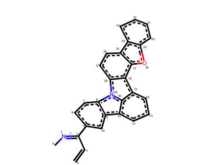 C=C/C(=N\C)c1ccc2c(c1)c1cccc3c4c5oc6ccccc6c5ccc4n2c13